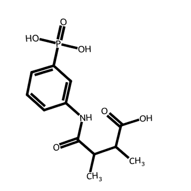 CC(C(=O)O)C(C)C(=O)Nc1cccc(P(=O)(O)O)c1